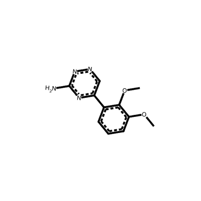 COc1cccc(-c2cnnc(N)n2)c1OC